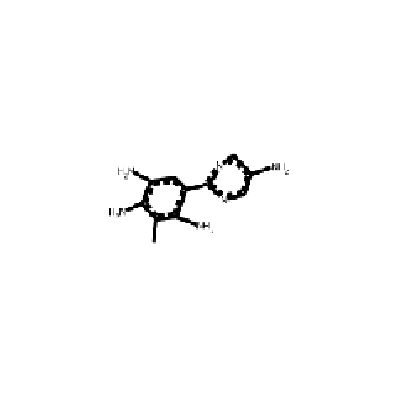 Cc1c(N)c(N)cc(-c2ncc(N)cn2)c1N